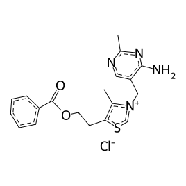 Cc1ncc(C[n+]2csc(CCOC(=O)c3ccccc3)c2C)c(N)n1.[Cl-]